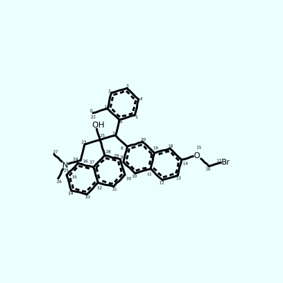 Cc1ccccc1C(c1ccc2ccc(OCBr)cc2c1)C(O)(CCN(C)C)c1cccc2ccccc12